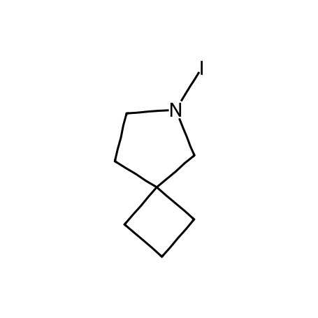 IN1CCC2(CCC2)C1